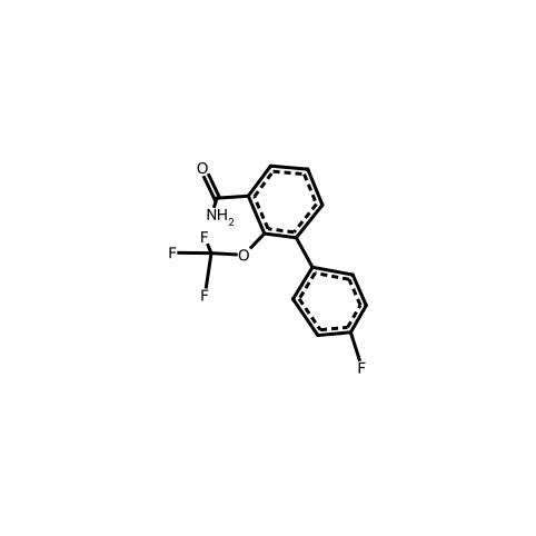 NC(=O)c1cccc(-c2ccc(F)cc2)c1OC(F)(F)F